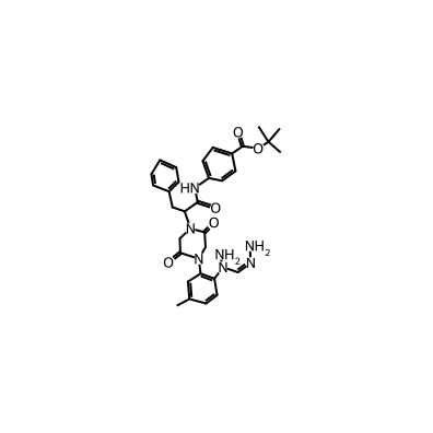 Cc1ccc(N(N)/C=N\N)c(N2CC(=O)N(C(Cc3ccccc3)C(=O)Nc3ccc(C(=O)OC(C)(C)C)cc3)CC2=O)c1